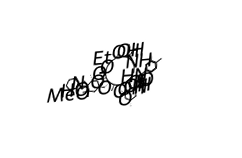 CC[C@H]1OC(=O)[C@H](C)[C@@H](O[C@H]2C[C@@](C)(OC)[C@](O)(CN3CCCCC3)[C@H](C)O2)[C@H](C)[C@@H](O[C@H]2O[C@@H](C)C[C@@H](N(C)S(=O)(=O)Nc3ccc(C)c(C)c3)[C@@H]2O)[C@](C)(O)C[C@@H](C)CN[C@H](C)[C@@H](O)[C@]1(C)O